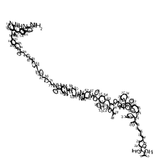 C=C(C)[C@@H](O)[C@@H](O)C(=O)[C@H](C)C[C@H](C)/C=C/C=C/C=C(\C)[C@H](C[C@@H]1CC[C@@H](C)[C@](O)(C(=O)C(=O)N2CCCC[C@H]2C(=O)O[C@@H](CC(=O)C(C)C)[C@H](N)C[C@@H]2CC[C@@H](OC(=O)N3CCc4nc(N5CCN(c6ncc(C(=O)NCCOCCOCCOCCOCCC(=O)N7CCc8cc(Cn9nc(-c%10ccc%11oc(N)nc%11c%10)c%10c(N)ncnc%109)ccc8C7)cn6)CC5)ncc4C3)[C@H](OC)C2)O1)OC